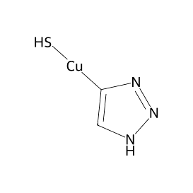 [SH][Cu][c]1c[nH]nn1